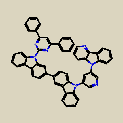 c1ccc(-c2cc(-c3ccccc3)nc(-n3c4ccccc4c4ccc(-c5ccc6c(c5)c5ccccc5n6-c5cncc(-n6c7ccccc7c7ncccc76)c5)cc43)n2)cc1